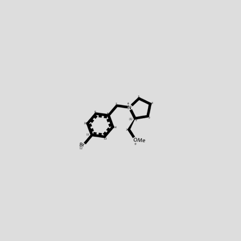 COC[C@@H]1CCCN1Cc1ccc(Br)cc1